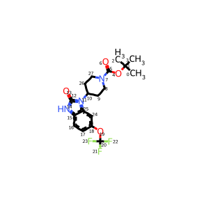 CC(C)(C)OC(=O)N1CCC(n2c(=O)[nH]c3ccc(OC(F)(F)F)cc32)CC1